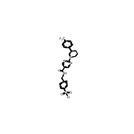 CCS(=O)(=O)c1ccc(CNC(=O)c2cnc(N3CCCC(c4ccc(C(F)(F)F)cc4)C3)nc2)cc1